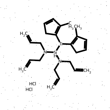 C=CCN(CC=C)[SiH](N(CC=C)CC=C)[Ti]([C]1=C(C)C=CC1)[C]1=C(C)C=CC1.Cl.Cl